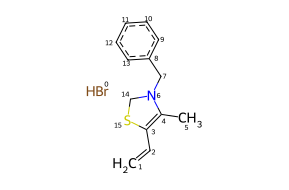 Br.C=CC1=C(C)N(Cc2ccccc2)CS1